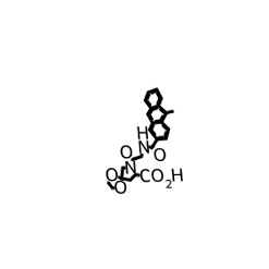 Cc1c2ccccc2cc2cc(C(=O)NCC(=O)N3CC4(CC3C(=O)O)OCCO4)ccc12